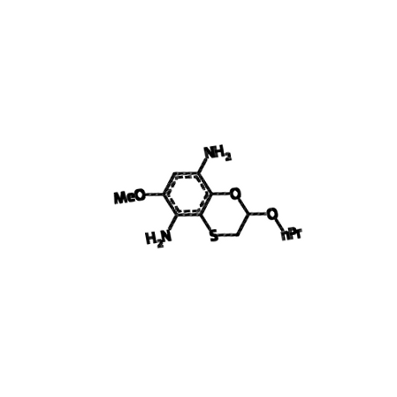 CCCOC1CSc2c(N)c(OC)cc(N)c2O1